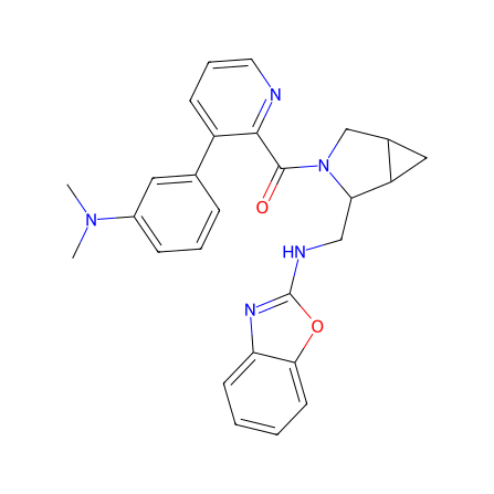 CN(C)c1cccc(-c2cccnc2C(=O)N2CC3CC3C2CNc2nc3ccccc3o2)c1